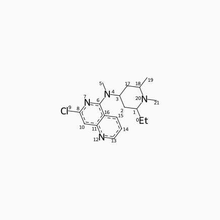 CCC1CC(N(C)c2nc(Cl)cc3ncccc23)CC(C)N1C